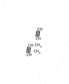 C.C.C#C.C#C